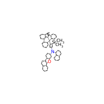 C[Si]1(C)c2ccccc2C2(c3ccccc3-c3cccc4cccc2c34)c2ccc(N(c3ccc4c(c3)oc3c5ccccc5ccc43)c3cccc4ccccc34)cc21